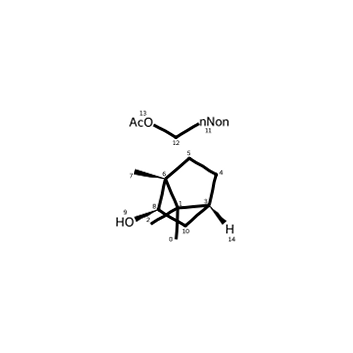 CC1(C)[C@@H]2CC[C@@]1(C)[C@H](O)C2.CCCCCCCCCCOC(C)=O